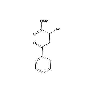 COC(=O)C(CC(=O)c1ccccc1)C(C)=O